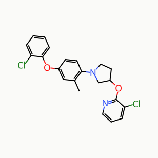 Cc1cc(Oc2ccccc2Cl)ccc1N1CCC(Oc2ncccc2Cl)C1